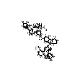 CC(C)C1=C(n2cc(-n3c4ccccc4c4ccc(Oc5ccc6c(c5)-n5ncc(-c7ccccc7)c5C(C)(C)C6(C)C)cc43)nc2-c2ccccc2)C(C(C)C)CC=C1